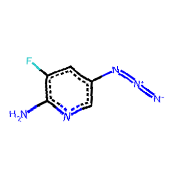 [N-]=[N+]=Nc1cnc(N)c(F)c1